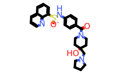 O=C(c1ccc(N[S+]([O-])c2cccc3cccnc23)cc1)N1CCC(O)(CN2CCCC2)CC1